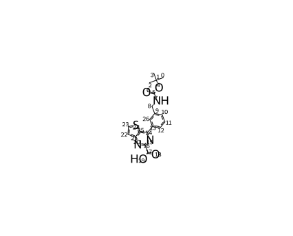 CC(C)(C)OC(=O)NCc1cccc(-c2nc(C(=O)O)nc3ccsc23)c1